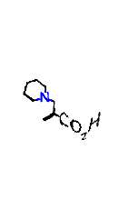 C=C(CN1CCCCC1)C(=O)O